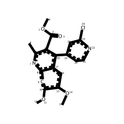 COC(=O)c1c(C)nc2cc(OC)c(OC)cc2c1-c1ccnc(Cl)c1